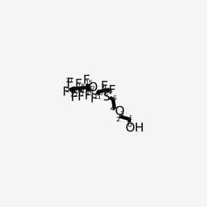 OCCOCCSC(F)(F)C(F)OC(F)(F)C(F)(F)C(F)(F)F